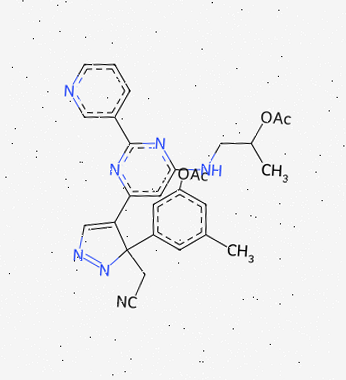 CC(=O)Oc1cc(C)cc(C2(CC#N)N=NC=C2c2cc(NCC(C)OC(C)=O)nc(-c3cccnc3)n2)c1